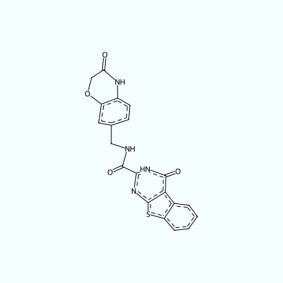 O=C1COc2cc(CNC(=O)c3nc4sc5ccccc5c4c(=O)[nH]3)ccc2N1